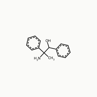 CC(N)(c1ccccc1)C(O)c1ccccc1